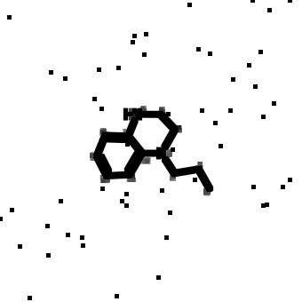 CCCN1C[CH]Nc2ccccc21